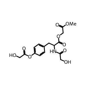 COC(=O)COC(=O)C(Cc1ccc(OC(=O)CO)cc1)NC(=O)CO